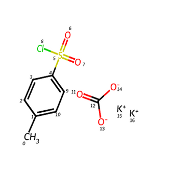 Cc1ccc(S(=O)(=O)Cl)cc1.O=C([O-])[O-].[K+].[K+]